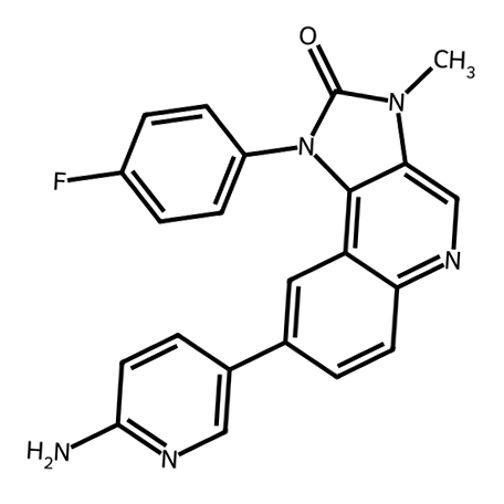 Cn1c(=O)n(-c2ccc(F)cc2)c2c3cc(-c4ccc(N)nc4)ccc3ncc21